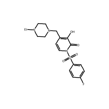 CCN1CCN(Cc2ccn(S(=O)(=O)c3ccc(F)cc3)c(=O)c2O)CC1